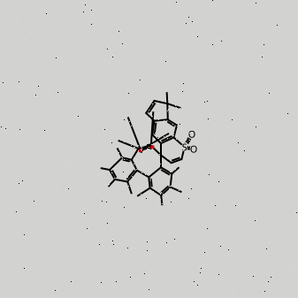 Cc1c(C)c(C)c2c(c1C)-c1c(C)c(C)c(C)c(C)c1C1(C=CS(=O)(=O)c3cc4c(cc31)C=CC4(C)C)c1c(C)c(C)c(C)c(C)c1-2